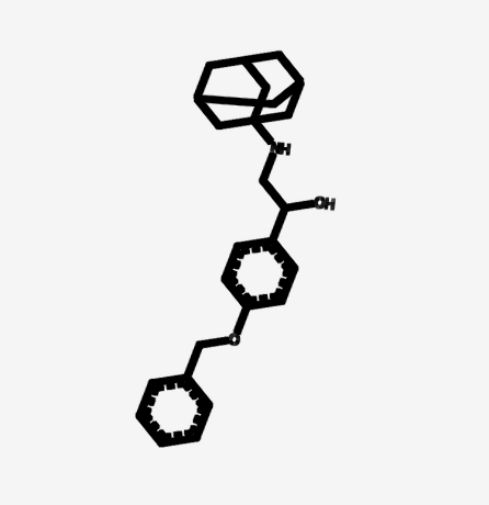 OC(CNC12CC3CC(CC(C3)C1)C2)c1ccc(OCc2ccccc2)cc1